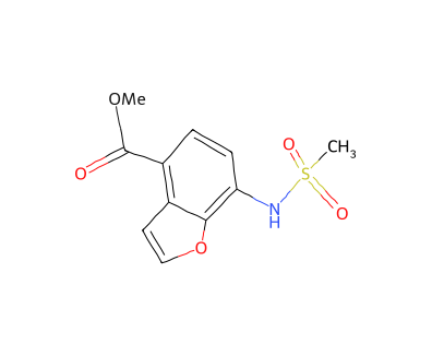 COC(=O)c1ccc(NS(C)(=O)=O)c2occc12